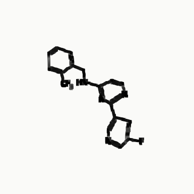 Fc1cncc(-c2nccc(NCc3ccccc3C(F)(F)F)n2)c1